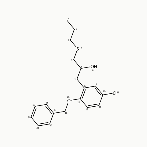 CCCSCC(O)Cc1cc(Cl)ccc1OCc1ccccc1